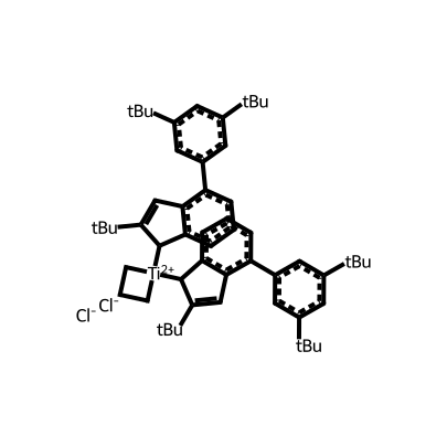 CC(C)(C)C1=Cc2c(-c3cc(C(C)(C)C)cc(C(C)(C)C)c3)cccc2[CH]1[Ti+2]1([CH]2C(C(C)(C)C)=Cc3c(-c4cc(C(C)(C)C)cc(C(C)(C)C)c4)cccc32)[CH2]C[CH2]1.[Cl-].[Cl-]